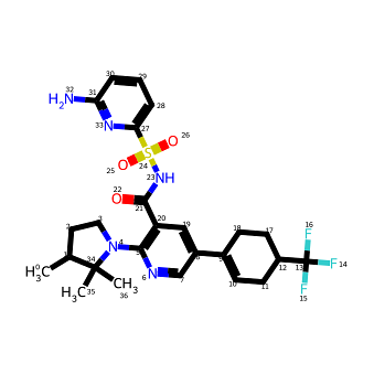 CC1CCN(c2ncc(C3=CCC(C(F)(F)F)CC3)cc2C(=O)NS(=O)(=O)c2cccc(N)n2)C1(C)C